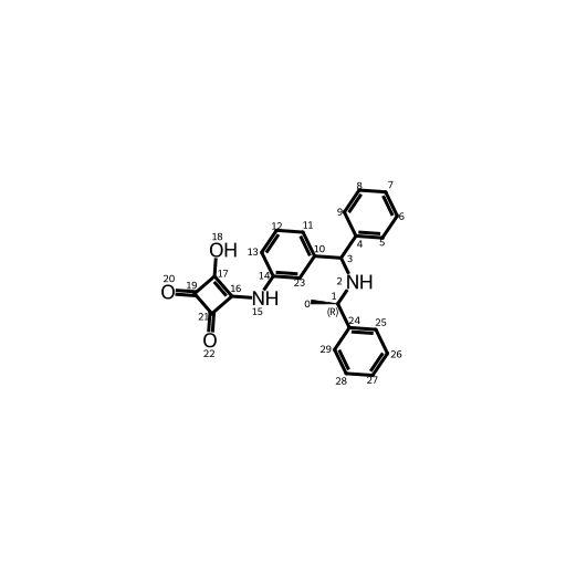 C[C@@H](NC(c1ccccc1)c1cccc(Nc2c(O)c(=O)c2=O)c1)c1ccccc1